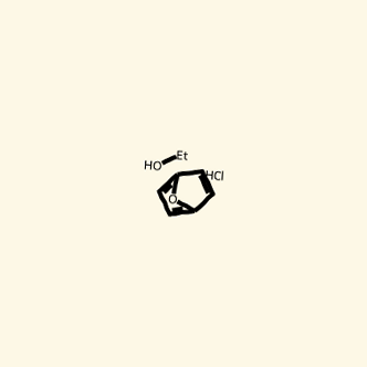 CCO.Cl.c1cc2ccc1o2